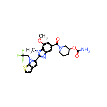 COc1cc(C(=O)N2CCCC(OC(N)=O)C2)cc2nc(-c3cc4ccsc4n3CC(F)(F)F)n(C)c12